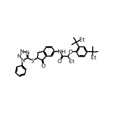 CCC(Oc1ccc(C(C)(C)CC)cc1C(C)(C)CC)C(=O)Nc1ccc2c(c1)C(=O)C(Sc1nnnn1-c1ccccc1)C2